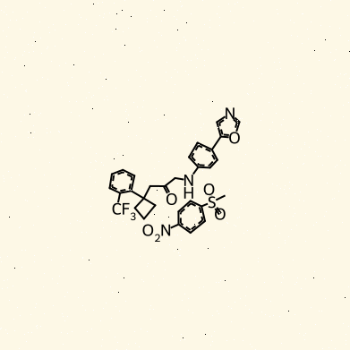 CS(=O)(=O)c1ccc([N+](=O)[O-])cc1.O=C(CNc1ccc(-c2cnco2)cc1)CC1(c2ccccc2C(F)(F)F)CCC1